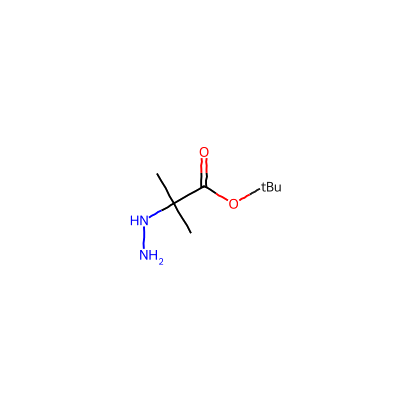 CC(C)(C)OC(=O)C(C)(C)NN